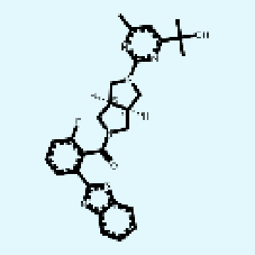 Cc1cc(C(C)(C)O)nc(N2C[C@H]3CN(C(=O)c4c(F)cccc4-c4nc5ccccc5s4)C[C@H]3C2)n1